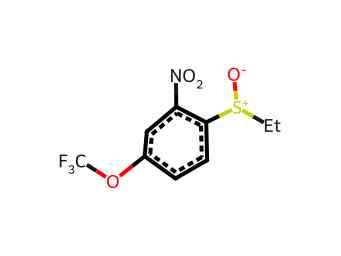 CC[S+]([O-])c1ccc(OC(F)(F)F)cc1[N+](=O)[O-]